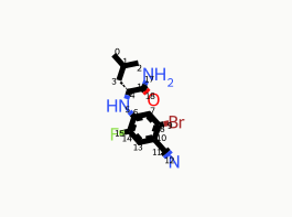 CC(C)C[C@@H](Nc1cc(Br)c(C#N)cc1F)C(N)=O